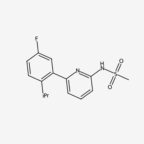 CC(C)c1ccc(F)cc1-c1cccc(NS(C)(=O)=O)n1